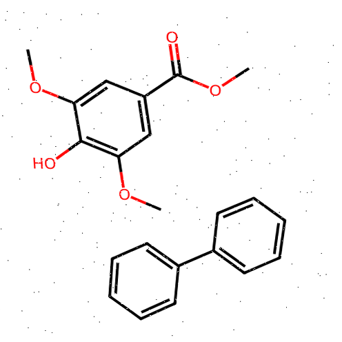 COC(=O)c1cc(OC)c(O)c(OC)c1.c1ccc(-c2ccccc2)cc1